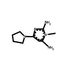 C[n+]1c(N)cc(N2CCCC2)nc1N